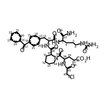 NC(=O)NCCCC(NC(=O)C(Cc1ccc(C(=O)c2ccccc2)cc1)NC(=O)C1CCCCN1C(=O)C(CCC(=O)O)NC(=O)CCl)C(N)=O